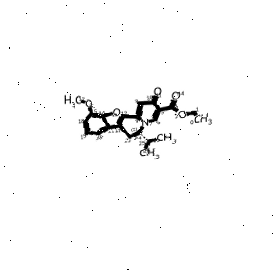 CCOC(=O)c1cn2c(cc1=O)-c1oc3c(OC)cccc3c1C[C@H]2C(C)C